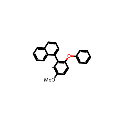 COc1[c]c(-c2cccc3ccccc23)c(Oc2ccccc2)cc1